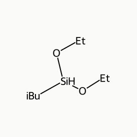 [CH2]CC(C)[SiH](OCC)OCC